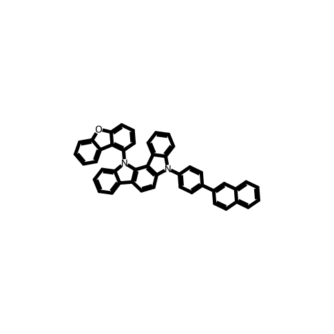 c1ccc2cc(-c3ccc(-n4c5ccccc5c5c4ccc4c6ccccc6n(-c6cccc7oc8ccccc8c67)c45)cc3)ccc2c1